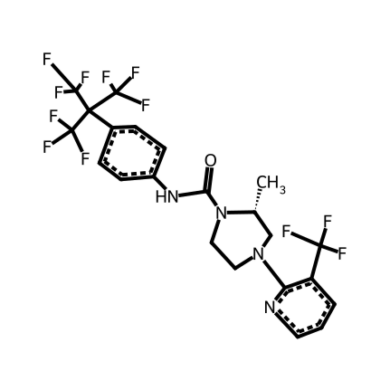 C[C@@H]1CN(c2ncccc2C(F)(F)F)CCN1C(=O)Nc1ccc(C(C(F)(F)F)(C(F)(F)F)C(F)(F)F)cc1